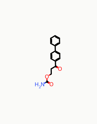 NC(=O)OCCC(=O)c1ccc(-c2ccccc2)cc1